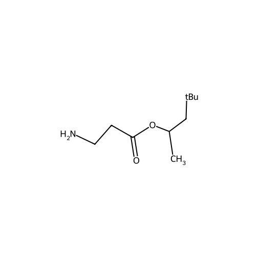 CC(CC(C)(C)C)OC(=O)CCN